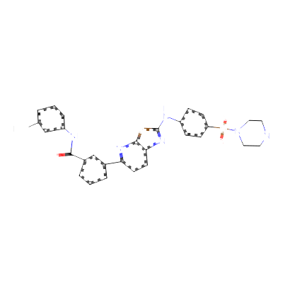 O=C(Nc1cccc(C(F)(F)F)c1)c1cccc(-c2ccc3nc(Nc4ccc(S(=O)(=O)N5CCNCC5)cc4)sc3n2)c1